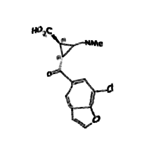 CNC1[C@H](C(=O)O)[C@H]1C(=O)c1cc(Cl)c2occc2c1